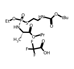 CCO[P@](=O)(N[C@@H](C)C(=O)OC(C)C)SCCNC(=O)OC(C)(C)C.O=C(O)C(F)(F)F